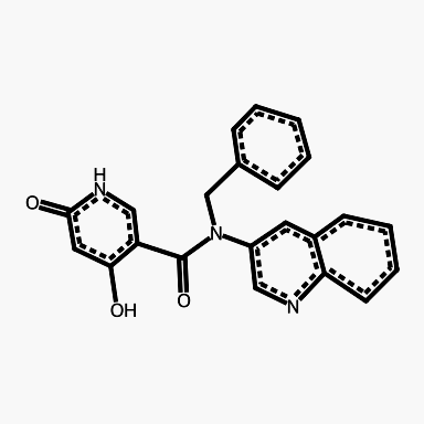 O=C(c1c[nH]c(=O)cc1O)N(Cc1ccccc1)c1cnc2ccccc2c1